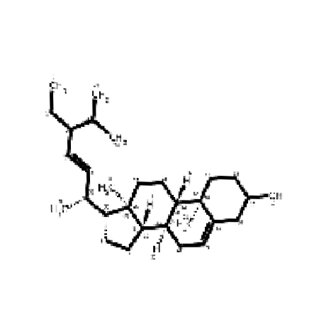 CCC(C=C[C@@H](C)[C@H]1CC[C@H]2[C@@H]3CC=C4CC(O)CC[C@]4(C)[C@H]3CC[C@]12C)C(C)C